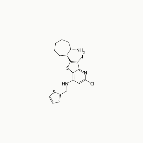 N[C@H]1CCCCC[C@@H]1c1sc2c(NCc3cccs3)cc(Cl)nc2c1I